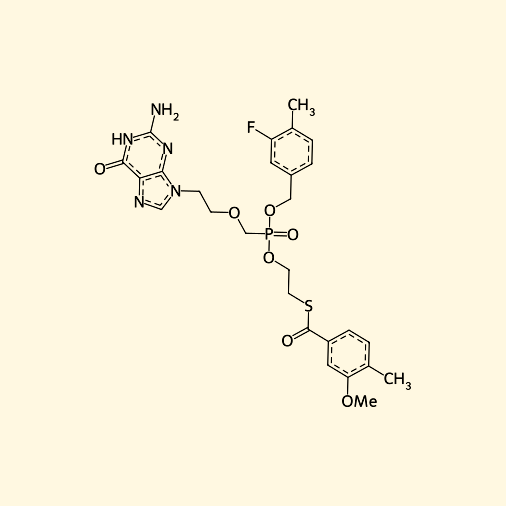 COc1cc(C(=O)SCCOP(=O)(COCCn2cnc3c(=O)[nH]c(N)nc32)OCc2ccc(C)c(F)c2)ccc1C